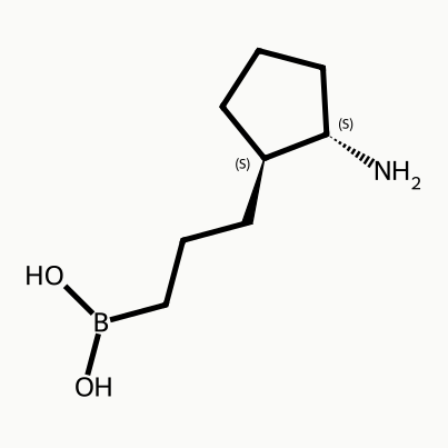 N[C@H]1CCC[C@@H]1CCCB(O)O